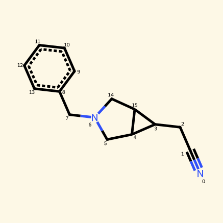 N#CCC1C2CN(Cc3ccccc3)CC12